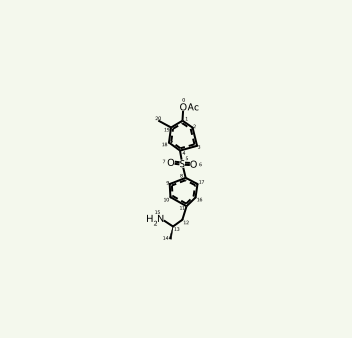 CC(=O)Oc1ccc(S(=O)(=O)c2ccc(C[C@@H](C)N)cc2)cc1C